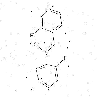 [O-][N+](=Cc1ccccc1F)c1ccccc1F